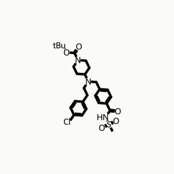 CC(C)(C)OC(=O)N1CCC(N(CCc2ccc(Cl)cc2)Cc2ccc(C(=O)NS(C)(=O)=O)cc2)CC1